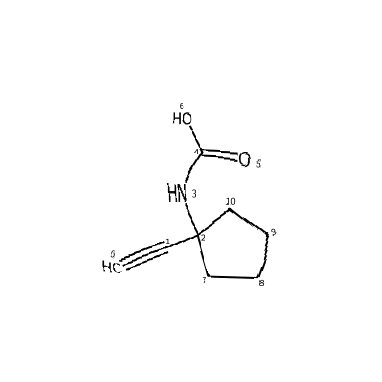 C#CC1(NC(=O)O)CCCC1